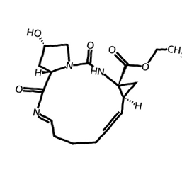 CCOC(=O)[C@@]12C[C@H]1/C=C\CCC/C=N/C(=O)[C@@H]1C[C@H](O)CN1C(=O)N2